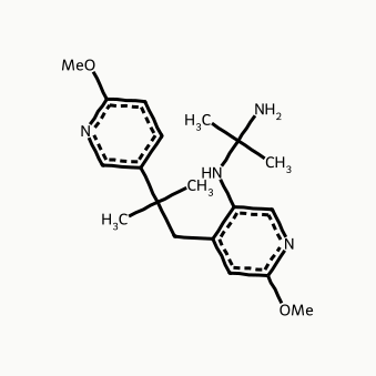 COc1ccc(C(C)(C)Cc2cc(OC)ncc2NC(C)(C)N)cn1